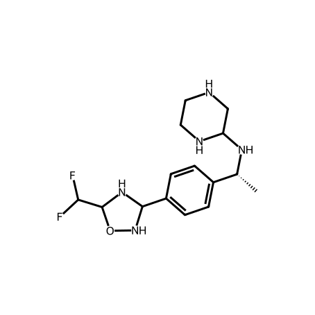 C[C@@H](NC1CNCCN1)c1ccc(C2NOC(C(F)F)N2)cc1